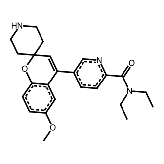 CCN(CC)C(=O)c1ccc(C2=CC3(CCNCC3)Oc3ccc(OC)cc32)cn1